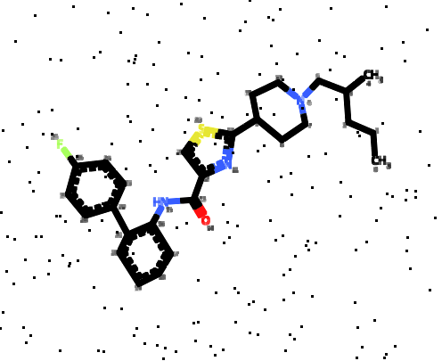 CCCC(C)CN1CCC(c2nc(C(=O)Nc3ccccc3-c3ccc(F)cc3)cs2)CC1